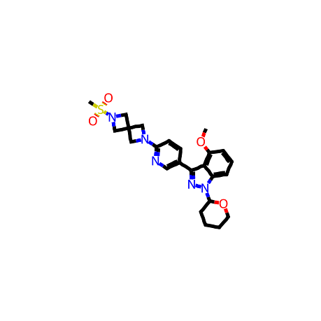 COc1cccc2c1c(-c1ccc(N3CC4(C3)CN(S(C)(=O)=O)C4)nc1)nn2C1CCCCO1